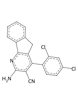 N#Cc1c(N)nc2c(c1-c1ccc(Cl)cc1Cl)Cc1ccccc1-2